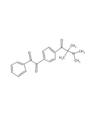 CN(C)C(C)(C)C(=O)c1ccc(C(=O)C(=O)c2ccccc2)cc1